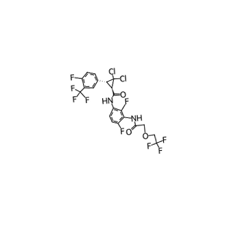 O=C(COCC(F)(F)F)Nc1c(F)ccc(NC(=O)[C@H]2[C@H](c3ccc(F)c(C(F)(F)F)c3)C2(Cl)Cl)c1F